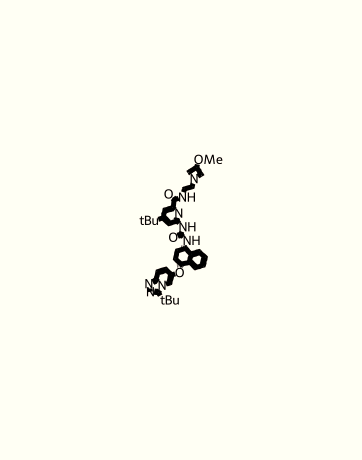 COC1CN(CCNC(=O)c2cc(C(C)(C)C)cc(NC(=O)N[C@H]3CC[C@@H](Oc4ccc5nnc(C(C)(C)C)n5c4)c4ccccc43)n2)C1